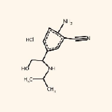 CC(C)NC(CO)c1ccc(N)c(C#N)c1.Cl